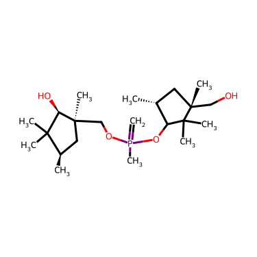 C=P(C)(OC[C@@]1(C)C[C@@H](C)C(C)(C)[C@H]1O)OC1[C@H](C)C[C@](C)(CO)C1(C)C